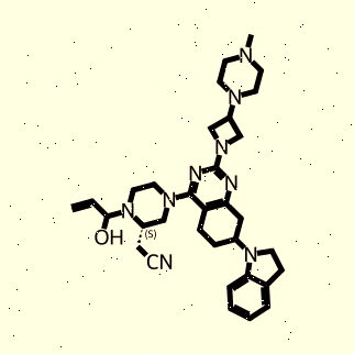 C=CC(O)N1CCN(c2nc(N3CC(N4CCN(C)CC4)C3)nc3c2CCC(N2CCc4ccccc42)C3)C[C@@H]1CC#N